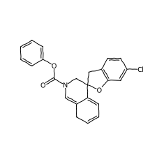 O=C(Oc1ccccc1)N1C=C2CC=CC=C2C2(Cc3ccc(Cl)cc3O2)C1